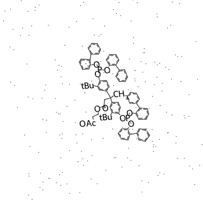 CC(=O)OCCOC(=O)CC(C)(c1ccc(OP(Oc2ccccc2-c2ccccc2)Oc2ccccc2-c2ccccc2)c(C(C)(C)C)c1)c1ccc(OP(Oc2ccccc2-c2ccccc2)Oc2ccccc2-c2ccccc2)c(C(C)(C)C)c1